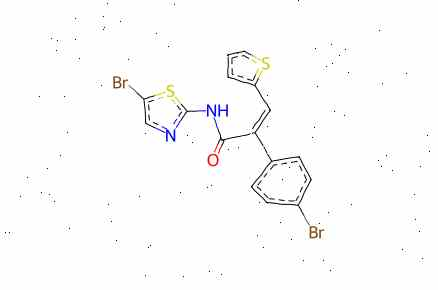 O=C(Nc1ncc(Br)s1)C(=Cc1cccs1)c1ccc(Br)cc1